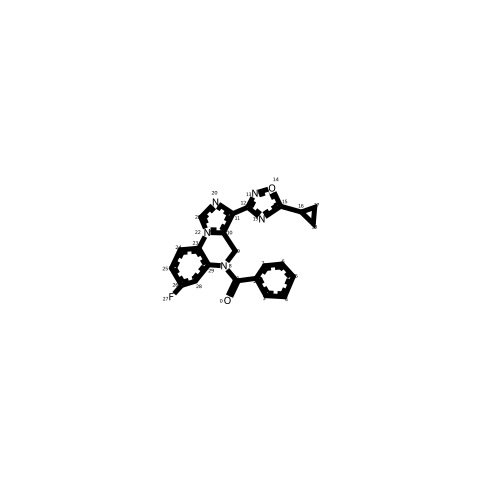 O=C(c1ccccc1)N1Cc2c(-c3noc(C4CC4)n3)ncn2-c2ccc(F)cc21